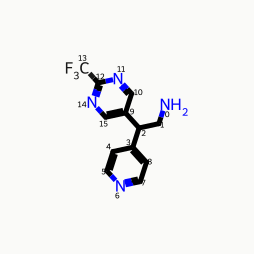 NCC(c1ccncc1)c1cnc(C(F)(F)F)nc1